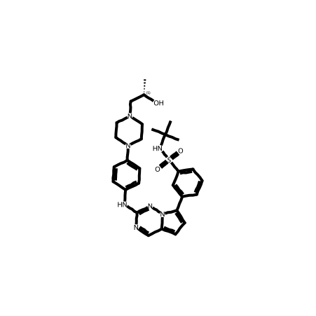 C[C@H](O)CN1CCN(c2ccc(Nc3ncc4ccc(-c5cccc(S(=O)(=O)NC(C)(C)C)c5)n4n3)cc2)CC1